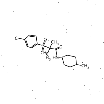 C=S(=O)(c1ccc(Cl)cc1)C(C)(C)C(=O)NC1CCC(C)CC1